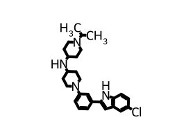 CC(C)N1CCC(NC2CCN(c3cccc(-c4cc5cc(Cl)ccc5[nH]4)c3)CC2)CC1